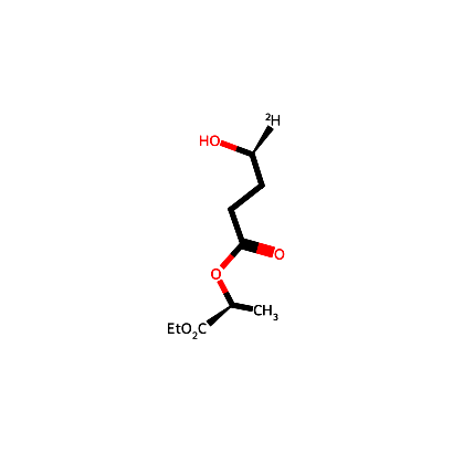 [2H][C@H](O)CCC(=O)O[C@@H](C)C(=O)OCC